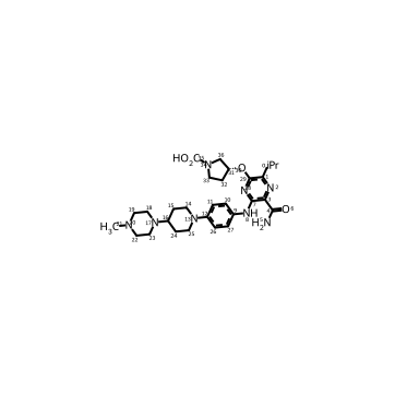 CC(C)c1nc(C(N)=O)c(Nc2ccc(N3CCC(N4CCN(C)CC4)CC3)cc2)nc1O[C@@H]1CCN(C(=O)O)C1